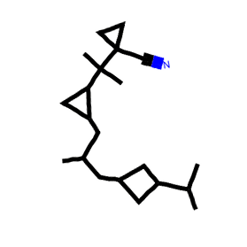 CC(CC1CC(C(C)C)C1)CC1CC1C(C)(C)C1(C#N)CC1